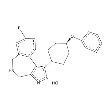 Cl.Fc1ccc2c(c1)CNCc1nnc([C@H]3CC[C@H](Oc4ccccc4)CC3)n1-2